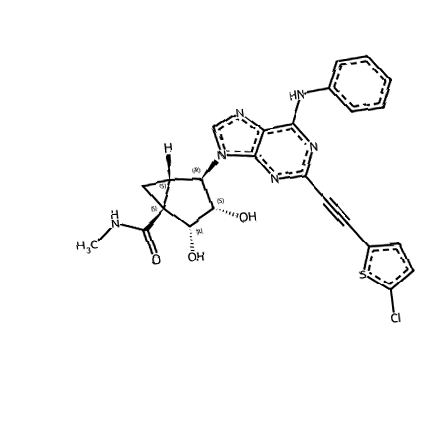 CNC(=O)[C@@]12C[C@@H]1[C@@H](n1cnc3c(Nc4ccccc4)nc(C#Cc4ccc(Cl)s4)nc31)[C@H](O)[C@@H]2O